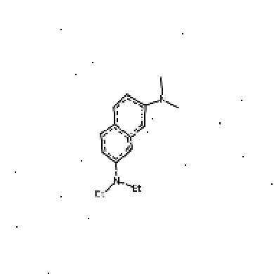 CCN(CC)c1ccc2ccc(N(C)C)cc2c1